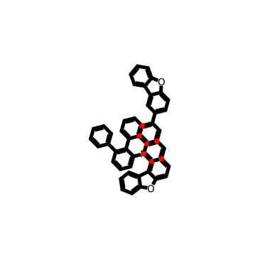 c1ccc(-c2ccccc2-c2c(-c3ccccc3)cccc2N(c2ccc(-c3ccc4oc5ccccc5c4c3)cc2)c2cccc3oc4ccccc4c23)cc1